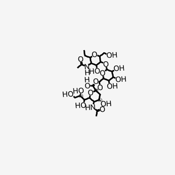 CCC1OC(CO)C(OC2OC(CO[C@]3(C(=O)O)C[C@H](O)C(NC(C)=O)C(C(O)[C@H](O)CO)O3)C(O)C(O)C2O)C(O)C1NC(C)=O